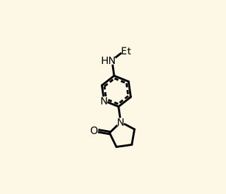 CCNc1ccc(N2CCCC2=O)nc1